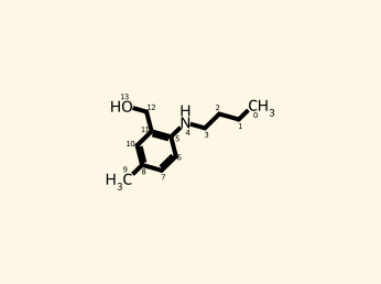 CCCCNc1ccc(C)cc1CO